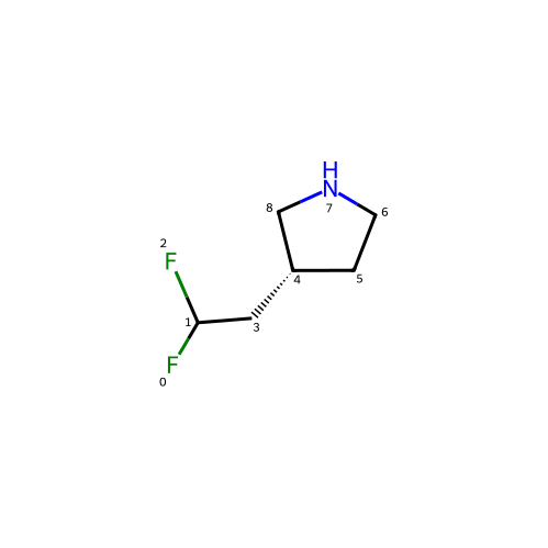 FC(F)C[C@H]1CCNC1